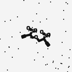 C#CC(COCC(C#C)[SH](=O)=O)[SH](=O)=O